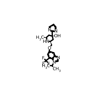 CC(C)n1cnc2cc(OC[C@@H]3C[C@](O)(c4ncccn4)C[C@H](C)N3)cc(C(F)(F)F)c21